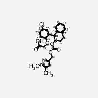 Cc1cc(COC(=O)ON2CCc3ccccc3C2c2cc(Cl)ccc2OCC(=O)O)nn1C